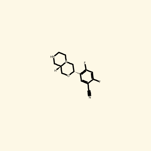 N#Cc1cc([C@H]2CN3CCNC[C@H]3CO2)c(F)cc1F